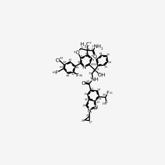 C[C@]1(C(N)=O)COc2c1cc([C@@](O)(CNC(=O)c1cc(C(F)F)c3nn(C4CC4)cc3c1)c1ccccc1)nc2-c1cc(Cl)c(F)cc1F